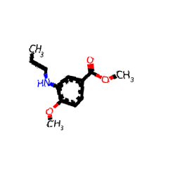 CCCNc1cc(C(=O)OC)ccc1OC